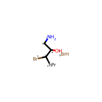 Br.CCCC(Br)C(O)CN